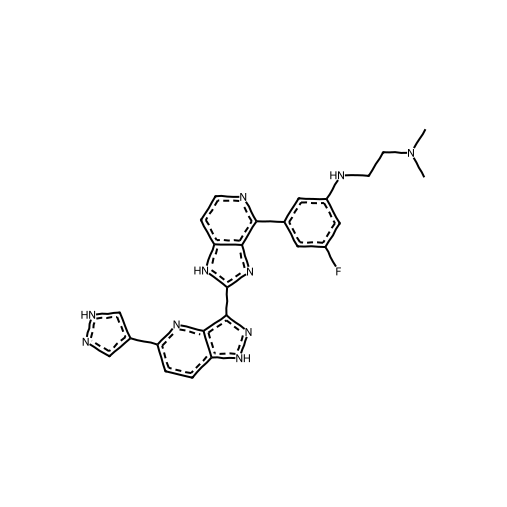 CN(C)CCNc1cc(F)cc(-c2nccc3[nH]c(-c4n[nH]c5ccc(-c6cn[nH]c6)nc45)nc23)c1